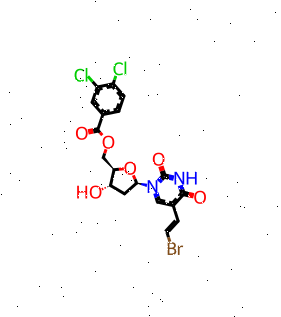 O=C(OC[C@H]1O[C@@H](n2cc(/C=C/Br)c(=O)[nH]c2=O)C[C@@H]1O)c1ccc(Cl)c(Cl)c1